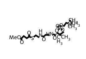 COC(=O)CCC(=O)SCCNC(=O)CCNC(=O)[C@@H]1OP(=O)(OCC[N+](C)(C)C)OCC1(C)C